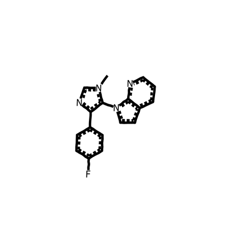 Cn1cnc(-c2ccc(F)cc2)c1-n1ccc2cccnc21